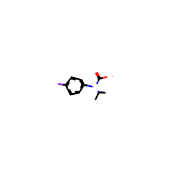 CC(C)N(C(=O)O)c1ccc(I)cc1